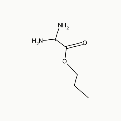 CCCOC(=O)[C](N)N